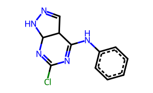 ClC1=NC2NN=CC2C(Nc2ccccc2)=N1